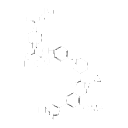 COc1cc(-c2cn[nH]c2)ccc1CN(C(=O)[C@@H]1CCCN(c2cccc(OC(C)(C)C(=O)N3CCN(C(=O)OC(C)(C)C)CC3)c2)C1)C1CC1